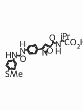 CSc1ccc(NC(=O)Nc2ccc(-c3cc(C(=O)NC(C(=O)O)C(C)C)on3)cc2)cc1